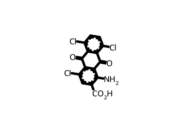 Nc1c(C(=O)O)cc(Cl)c2c1C(=O)c1c(Cl)ccc(Cl)c1C2=O